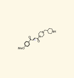 COc1ccc(C(=O)/C=C/C(=O)N2CCN(CC3CCNCC3)CC2)cc1